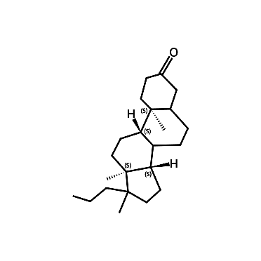 CCCC1(C)CC[C@H]2C3CCC4CC(=O)CC[C@]4(C)[C@H]3CC[C@@]21C